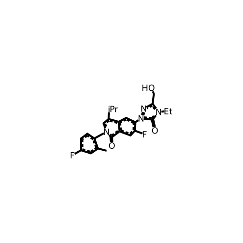 CCn1c(CO)nn(-c2cc3c(C(C)C)cn(-c4ccc(F)cc4C)c(=O)c3cc2F)c1=O